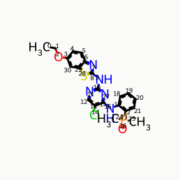 CCOc1ccc2nc(Nc3ncc(Cl)c(Nc4ccccc4P(C)(C)=O)n3)sc2c1